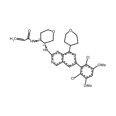 C=CC(=O)N[C@H]1CCOC[C@H]1Nc1ncc2cc(-c3c(Cl)c(OC)cc(OC)c3Cl)nc(C3CCOCC3)c2n1